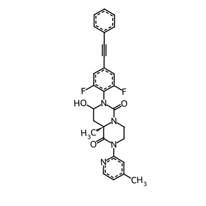 Cc1ccnc(N2CCN3C(=O)N(c4c(F)cc(C#Cc5ccccc5)cc4F)C(O)C[C@@]3(C)C2=O)c1